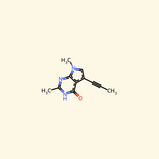 CC#Cc1cn(C)c2nc(C)[nH]c(=O)c12